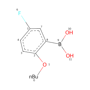 CCCCOc1ccc(F)cc1B(O)O